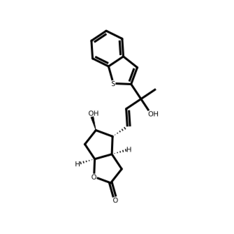 CC(O)(C=C[C@@H]1[C@H]2CC(=O)O[C@H]2C[C@H]1O)c1cc2ccccc2s1